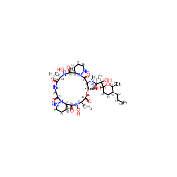 CC[C@@H]1O[C@@](O)([C@](C)(O)C(=O)N[C@@H]2C(=O)N3NCCC[C@@H]3C(=O)N(O)[C@@H](C)C(=O)NCC(=O)N3NCCC[C@H]3C(=O)N(O)[C@H](C)C(=O)O[C@H]2C(C)C)CC[C@@H]1CCC(C)C